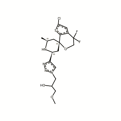 COCC(O)Cn1cc([C@@H]2C[C@]3(C[C@H](C)N2)OCC(F)(F)c2cc(Cl)sc23)nn1